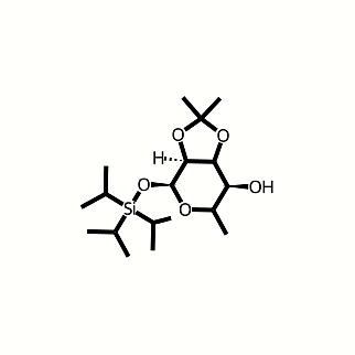 CC1O[C@@H](O[Si](C(C)C)(C(C)C)C(C)C)[C@H]2OC(C)(C)OC2[C@H]1O